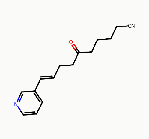 N#CCCCCC(=O)CCC=Cc1cccnc1